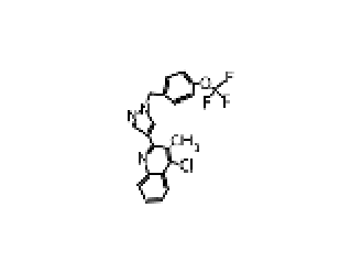 Cc1c(-c2cnn(Cc3ccc(OC(F)(F)F)cc3)c2)nc2ccccc2c1Cl